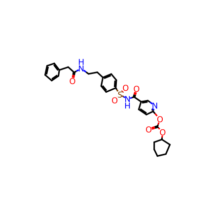 O=C(Cc1ccccc1)NCCc1ccc(S(=O)(=O)NC(=O)c2ccc(OC(=O)OC3CCCCC3)nc2)cc1